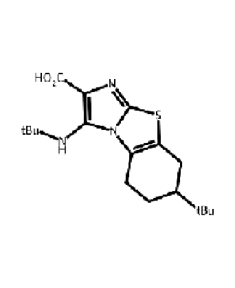 CC(C)(C)Nc1c(C(=O)O)nc2sc3c(n12)CCC(C(C)(C)C)C3